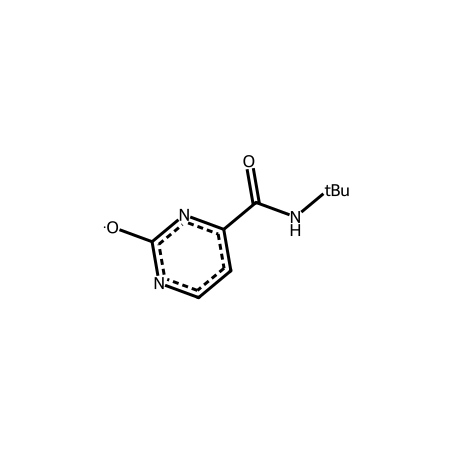 CC(C)(C)NC(=O)c1ccnc([O])n1